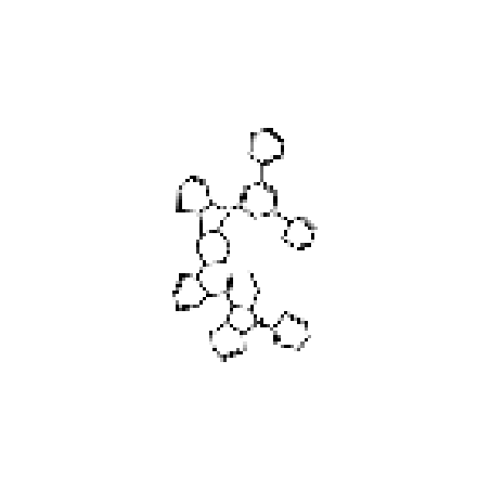 C1=CCC(C2C=C(c3ccccc3)C=C(N3C4C=CC=CC4C4CC(C5C=CC=CC5C5=CCCC6C5C5CCC=CC5N6C5=CCCC=C5)CCC43)C2)C=C1